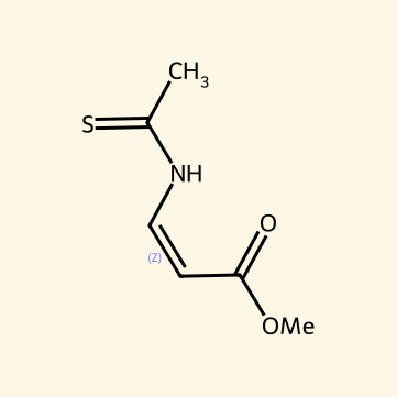 COC(=O)/C=C\NC(C)=S